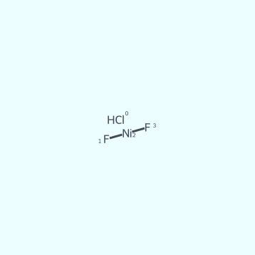 Cl.[F][Ni][F]